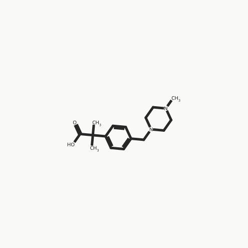 CN1CCN(Cc2ccc(C(C)(C)C(=O)O)cc2)CC1